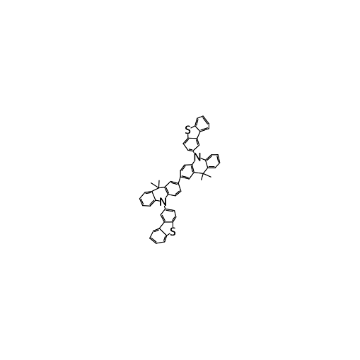 CC1(C)c2ccccc2N(c2ccc3sc4ccccc4c3c2)c2ccc(-c3ccc4c(c3)C(C)(C)c3ccccc3N4c3ccc4sc5ccccc5c4c3)cc21